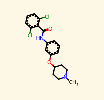 CN1CCC(Oc2cccc(NC(=O)c3c(Cl)cccc3Cl)c2)CC1